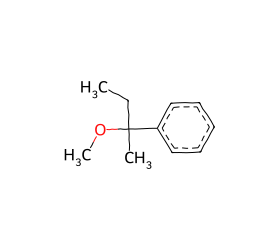 CCC(C)(OC)c1ccccc1